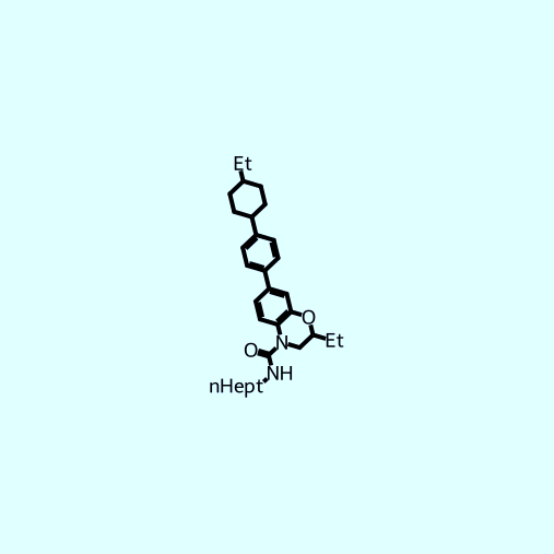 CCCCCCCNC(=O)N1CC(CC)Oc2cc(-c3ccc(C4CCC(CC)CC4)cc3)ccc21